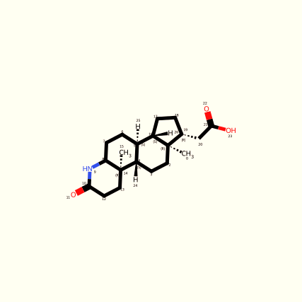 C[C@]12CC[C@H]3[C@@H](CCC4NC(=O)CC[C@@]43C)[C@@H]1CC[C@@H]2CC(=O)O